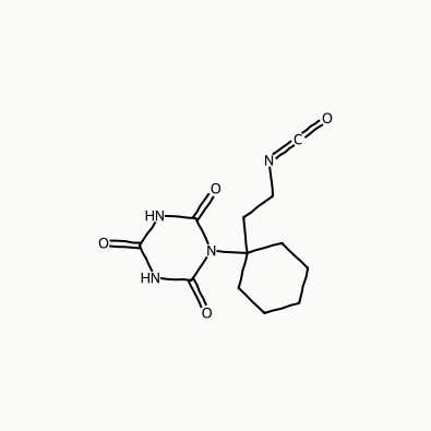 O=C=NCCC1(n2c(=O)[nH]c(=O)[nH]c2=O)CCCCC1